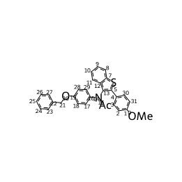 COc1ccc(-c2sc3ccccc3c2N(C(C)=O)c2ccc(OCc3ccccc3)cc2)cc1